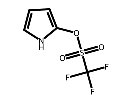 O=S(=O)(Oc1ccc[nH]1)C(F)(F)F